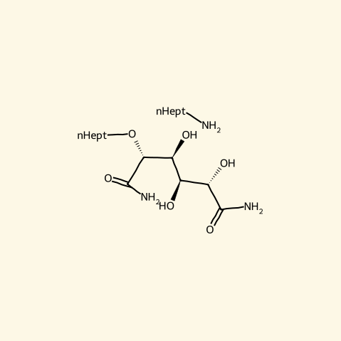 CCCCCCCN.CCCCCCCO[C@@H](C(N)=O)[C@@H](O)[C@H](O)[C@H](O)C(N)=O